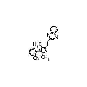 Cc1cc(/C=C/c2cnc3ccccc3n2)c(C)n1-c1ccccc1C#N